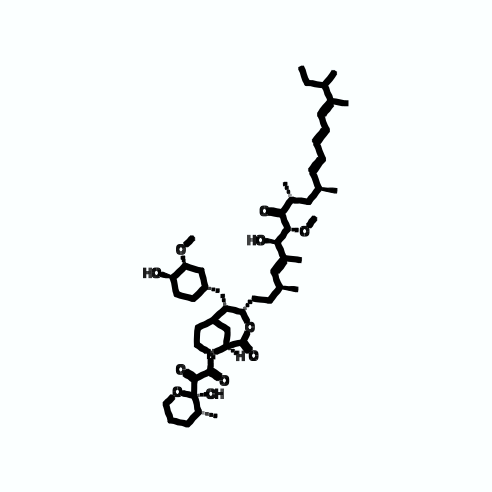 CCC(C)/C(C)=C/C=C/C=C/[C@@H](C)C[C@@H](C)C(=O)[C@H](OC)[C@H](O)/C(C)=C/[C@@H](C)CC[C@@H]1OC(=O)[C@@H]2CC(CCN2C(=O)C(=O)[C@]2(O)OCCC[C@H]2C)[C@@H]1C[C@@H]1CC[C@@H](O)[C@H](OC)C1